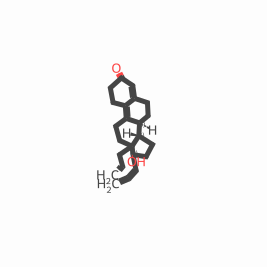 C=C=C[C@]1(O)CC[C@H]2[C@@H]3CCC4=CC(=O)CCC4=C3CCC21CC=C